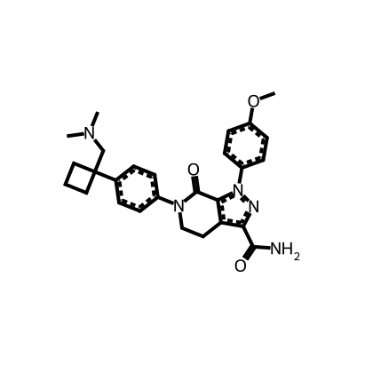 COc1ccc(-n2nc(C(N)=O)c3c2C(=O)N(c2ccc(C4(CN(C)C)CCC4)cc2)CC3)cc1